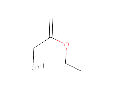 C=C([CH2][SnH])OCC